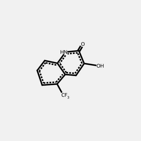 O=c1[nH]c2cccc(C(F)(F)F)c2cc1O